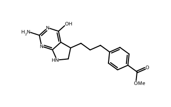 COC(=O)c1ccc(CCCC2CNc3nc(N)nc(O)c32)cc1